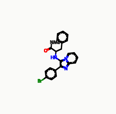 CNC(=O)C(Cc1ccccc1)Nc1c(-c2ccc(Br)cc2)nc2ccccn12